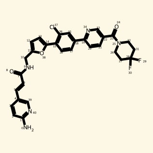 Nc1ccc(C=CC(=O)NCc2ccc(-c3ccc(-c4ccc(C(=O)N5CCC(F)(F)CC5)cn4)cc3Cl)o2)cn1